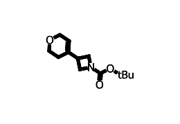 CC(C)(C)OC(=O)N1CC(C2=CCOCC2)C1